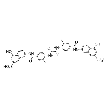 Cc1cc(C(=O)Nc2ccc3c(O)cc(S(=O)(=O)O)cc3c2)ccc1NC(=O)C(=O)Nc1ccc(C(=O)Nc2ccc3c(O)cc(S(=O)(=O)O)cc3c2)cc1C